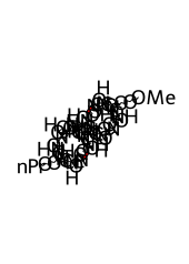 CCCOCCOCCN1CCNC(=O)Cn2c(C)cc(c(O)c2=O)C(=O)NCCN(CCN2CCNC(=O)c3cc(C)n(c(=O)c3O)CC(=O)NCCN(CCOCCOCCOC)CCNC(=O)Cn3c(C)cc(c(O)c3=O)C(=O)NC(CCCCN)C2)CCNC(=O)c2cc(C)n(c(=O)c2O)CC(=O)NCC1